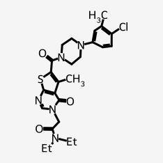 CCN(CC)C(=O)Cn1cnc2sc(C(=O)N3CCN(c4ccc(Cl)c(C)c4)CC3)c(C)c2c1=O